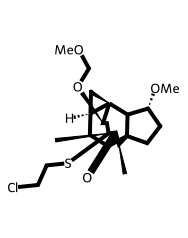 COCO[C@@H]1C[C@@](C)(SCCCl)C(=O)[C@H](C)C23CC[C@H]4C[C@]41C2[C@H](OC)CC3